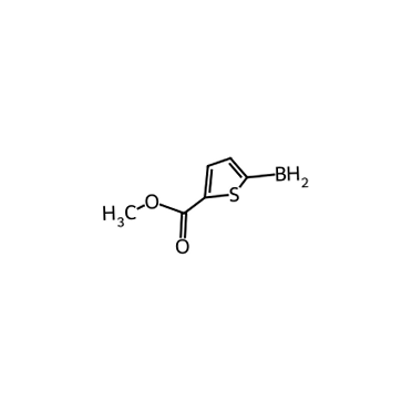 Bc1ccc(C(=O)OC)s1